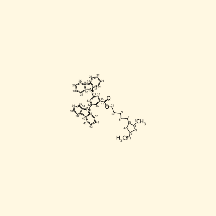 C=CC1CC(C)C(CCCCCOC(=O)c2cc(-n3c4ccccc4c4ccccc43)cc(-n3c4ccccc4c4ccccc43)c2)C1